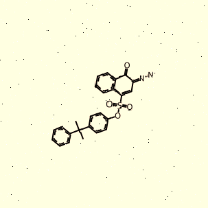 CC(C)(c1ccccc1)c1ccc(OS(=O)(=O)C2=CC(=[N+]=[N-])C(=O)c3ccccc32)cc1